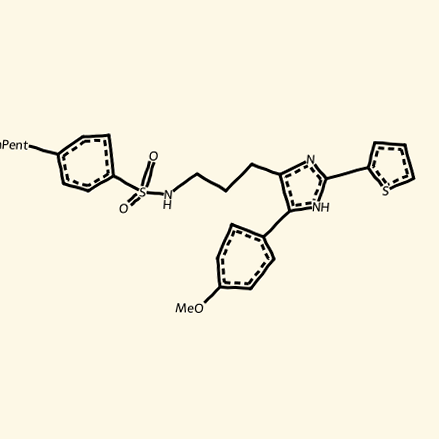 CCCCCc1ccc(S(=O)(=O)NCCCc2nc(-c3cccs3)[nH]c2-c2ccc(OC)cc2)cc1